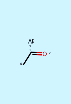 CC=O.[Al]